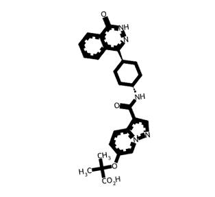 CC(C)(Oc1ccc2c(C(=O)N[C@H]3CC[C@H](c4n[nH]c(=O)c5ccccc54)CC3)cnn2c1)C(=O)O